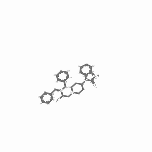 CC(CN1CCC(n2c(=O)[nH]c3ccccc32)CC1)N(Cc1ccccc1)Cc1ccccc1